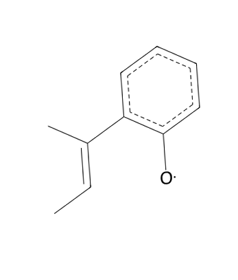 CC=C(C)c1ccccc1[O]